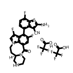 N#Cc1c(N)sc2c(F)ccc(-c3c(F)cc4c5c3c(F)cn5CC[C@@H]3CNCCN3C4=O)c12.O=C(O)C(F)(F)F.O=C(O)C(F)(F)F